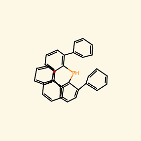 c1ccc(-c2cccc(-c3ccccc3)c2Pc2c(-c3ccccc3)cccc2-c2ccccc2)cc1